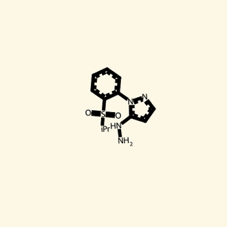 CC(C)S(=O)(=O)c1ccccc1-n1nccc1NN